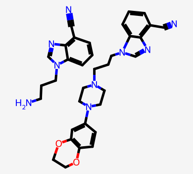 N#Cc1cccc2c1ncn2CCCN.N#Cc1cccc2c1ncn2CCCN1CCN(c2ccc3c(c2)OCCO3)CC1